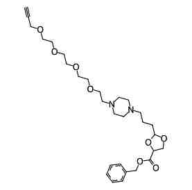 C#CCOCCOCCOCCOCCN1CCN(CCCC2OCC(C(=O)OCc3ccccc3)O2)CC1